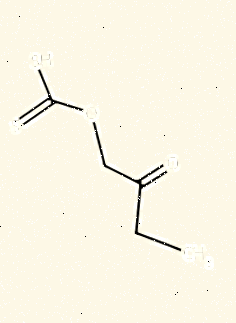 CCC(=O)COC(=S)S